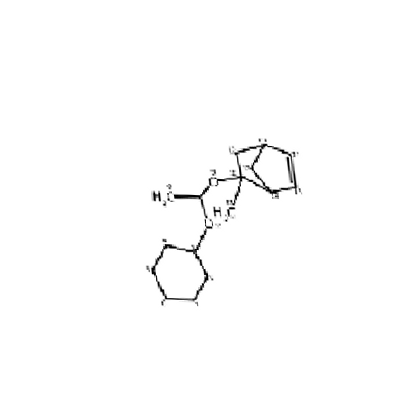 CC(OC1CCCCC1)OC1(C)CC2C=CC1C2